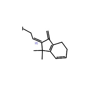 C=C1C2=C(C=CCC2)C(C)(C)/C1=C/CI